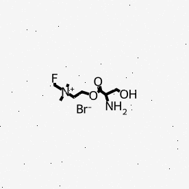 C[N+](C)(CF)CCOC(=O)C(N)CO.[Br-]